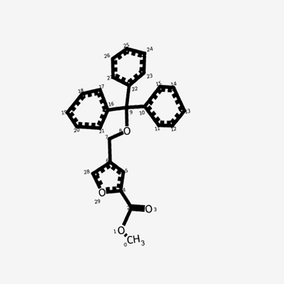 COC(=O)c1cc(COC(c2ccccc2)(c2ccccc2)c2ccccc2)co1